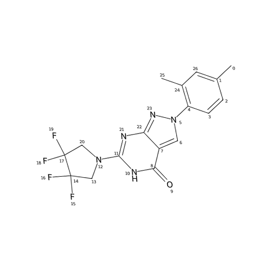 Cc1ccc(-n2cc3c(=O)[nH]c(N4CC(F)(F)C(F)(F)C4)nc3n2)c(C)c1